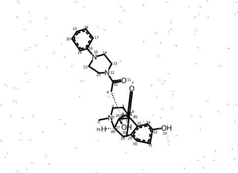 CN1CC[C@]23CC(=O)[C@@H](CC(=O)N4CCN(c5ccccc5)CC4)C[C@@]2(O)[C@H]1Cc1ccc(O)cc13